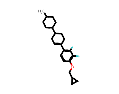 CC1CCC(C2CC=C(c3ccc(OCC4CC4)c(F)c3F)CC2)CC1